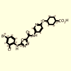 O=C(Nc1ccc(OC2CCC(C(=O)O)CC2)nc1)c1nnc(Nc2ccc(Br)cc2Cl)o1